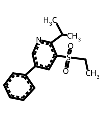 CCS(=O)(=O)c1cc(-c2ccccc2)cnc1C(C)C